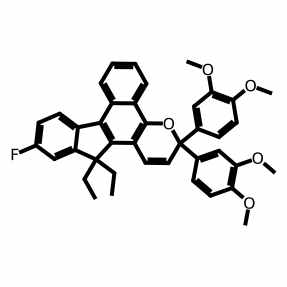 CCC1(CC)c2cc(F)ccc2-c2c1c1c(c3ccccc23)OC(c2ccc(OC)c(OC)c2)(c2ccc(OC)c(OC)c2)C=C1